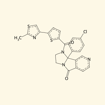 Cc1nc(-c2ccc(C(=O)N3CCN4C(=O)c5ccncc5C34c3ccc(Cl)cc3)s2)cs1